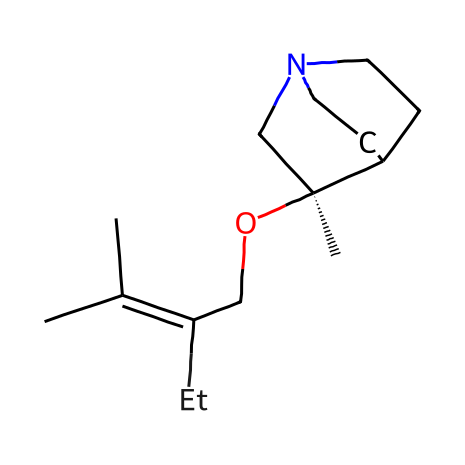 CCC(CO[C@@]1(C)CN2CCC1CC2)=C(C)C